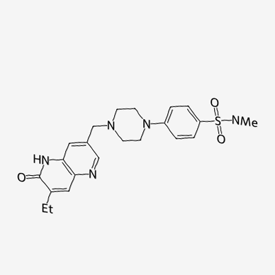 CCc1cc2ncc(CN3CCN(c4ccc(S(=O)(=O)NC)cc4)CC3)cc2[nH]c1=O